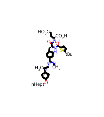 C=N/C(=N\C=C(/C)c1ccc(OCCCCCCC)cc1)c1ccc(C[C@H](NC(=O)c2ccc(C(C)(C)C)s2)C(=O)N[C@@H](CCC(=O)O)C(=O)O)cc1